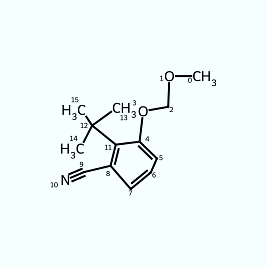 COCOc1cccc(C#N)c1C(C)(C)C